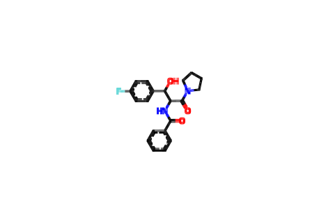 O=C(NC(C(=O)N1CCCC1)C(O)c1ccc(F)cc1)c1ccccc1